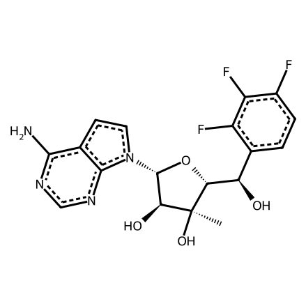 C[C@@]1(O)[C@@H]([C@H](O)c2ccc(F)c(F)c2F)O[C@@H](n2ccc3c(N)ncnc32)[C@@H]1O